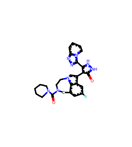 O=C(N1CCCCC1)N1CCn2cc(-c3c(-c4nnc5ccccn45)[nH][nH]c3=O)c3cc(F)cc(c32)C1